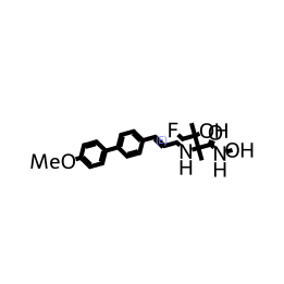 COc1ccc(-c2ccc(/C=C/CNC(C)(C(=O)NO)C(C)(O)CF)cc2)cc1